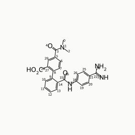 CN(C)C(=O)c1ccc(-c2ccccc2C(=O)Nc2ccc(C(=N)N)cc2)c(C(=O)O)c1